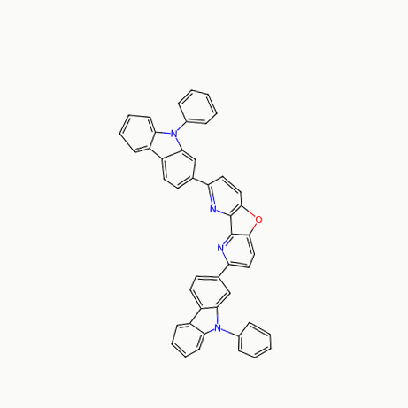 c1ccc(-n2c3ccccc3c3ccc(-c4ccc5oc6ccc(-c7ccc8c9ccccc9n(-c9ccccc9)c8c7)nc6c5n4)cc32)cc1